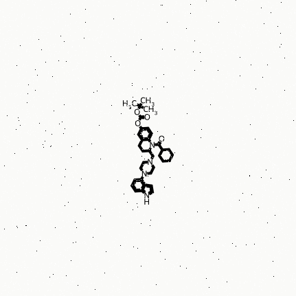 CC(C)(C)OC(=O)Oc1ccc2c(c1)CCC(CN1CCN(c3cccc4[nH]ccc34)CC1)N2C(=O)C1CCCCC1